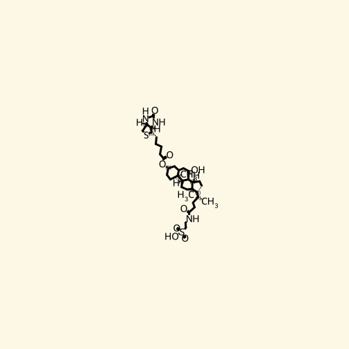 C[C@H](CCC(=O)NCCS(=O)(=O)O)[C@H]1CC[C@H]2C3[C@@H](O)CC4C[C@H](OC(=O)CCCC[C@@H]5SC[C@@H]6NC(=O)N[C@@H]65)CC[C@]4(C)[C@H]3CC[C@]12C